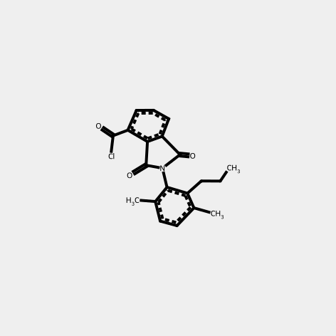 CCCc1c(C)ccc(C)c1N1C(=O)c2cccc(C(=O)Cl)c2C1=O